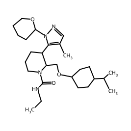 CCNC(=O)N1CCCC(c2c(C)cnn2C2CCCCO2)C1COC1CCC(C(C)C)CC1